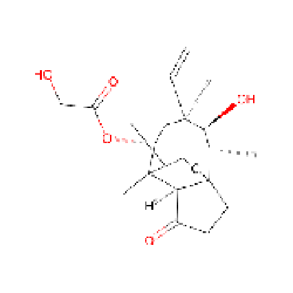 C=C[C@]1(C)C[C@@H](OC(=O)CO)C2(C)C(C)CCC3(CCC(=O)[C@H]32)[C@@H](C)[C@@H]1O